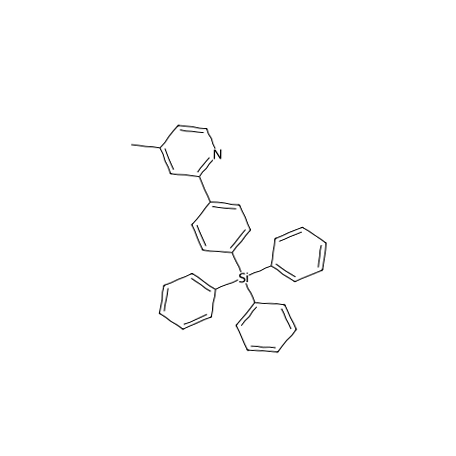 Cc1ccnc(-c2ccc([Si](c3ccccc3)(c3ccccc3)c3ccccc3)cc2)c1